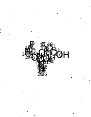 Oc1cc(N2Cc3nc(OC[C@@]45CCCN4C[C@H](F)C5)cc(N4CC5CCC(C4)N5)c3CC23CC3)c2c(Cl)c(F)ccc2c1